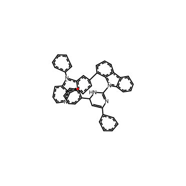 C1=C(c2ccccc2)N=C(n2c3ccccc3c3cccc(-c4ccc5c6ncccc6n(-c6ccccc6)c5c4)c32)NC1c1ccccc1